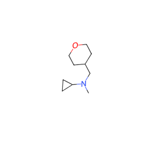 CN(CC1CCOCC1)C1CC1